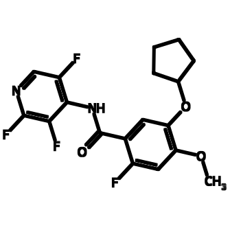 COc1cc(F)c(C(=O)Nc2c(F)cnc(F)c2F)cc1OC1CCCC1